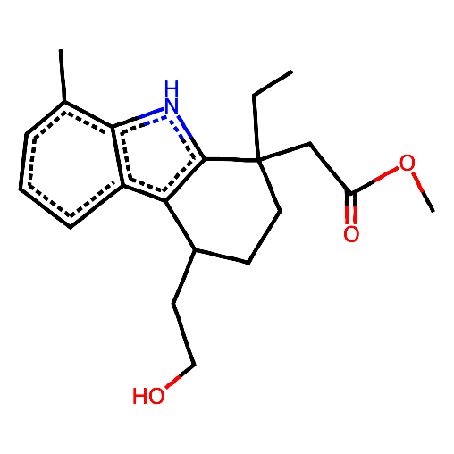 CCC1(CC(=O)OC)CCC(CCO)c2c1[nH]c1c(C)cccc21